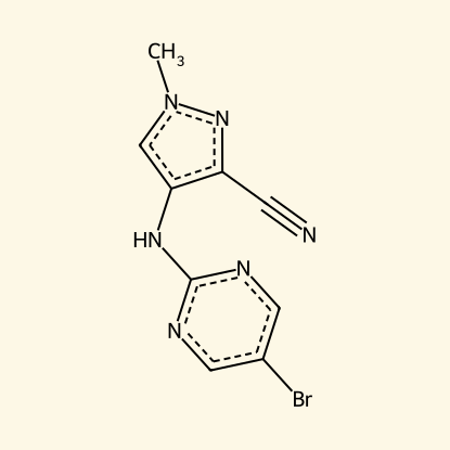 Cn1cc(Nc2ncc(Br)cn2)c(C#N)n1